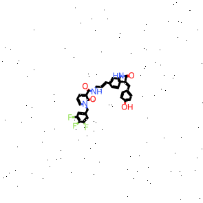 O=C1Nc2cc(/C=C/CNC(=O)c3cccn(Cc4cc(F)c(F)c(F)c4)c3=O)ccc2/C1=C\c1ccc(O)cc1